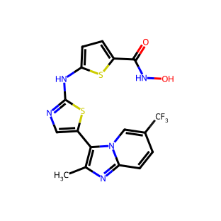 Cc1nc2ccc(C(F)(F)F)cn2c1-c1cnc(Nc2ccc(C(=O)NO)s2)s1